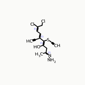 C#CSC(/C(C#C)=C/C=C(/Cl)CCl)=C(/O)C/C(C)=N/N